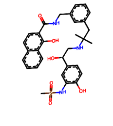 CC(C)(Cc1cccc(CNC(=O)c2ccc3ccccc3c2O)c1)NC[C@H](O)c1ccc(O)c(NS(C)(=O)=O)c1